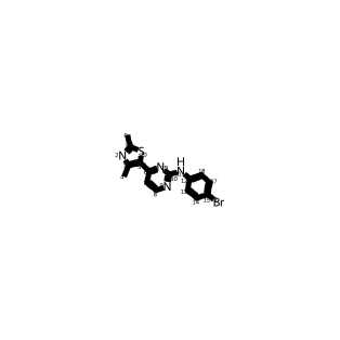 Cc1nc(C)c(-c2ccnc(Nc3ccc(Br)cc3)n2)s1